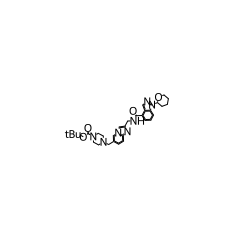 CC(C)(C)OC(=O)N1CCN(Cc2ccc3nc(CNC(=O)c4cccc5c4cnn5C4CCCCO4)cn3c2)CC1